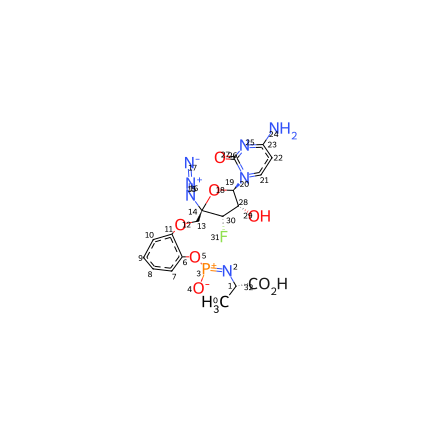 C[C@H](/N=[P+](\[O-])Oc1ccccc1OC[C@@]1(N=[N+]=[N-])O[C@@H](n2ccc(N)nc2=O)[C@H](O)[C@@H]1F)C(=O)O